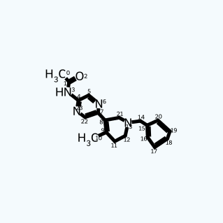 CC(=O)Nc1cnc(C2=C(C)CCN(Cc3ccccc3)C2)cn1